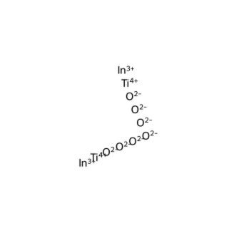 [In+3].[In+3].[O-2].[O-2].[O-2].[O-2].[O-2].[O-2].[O-2].[Ti+4].[Ti+4]